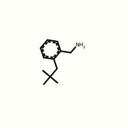 CC(C)(C)Cc1ccccc1CN